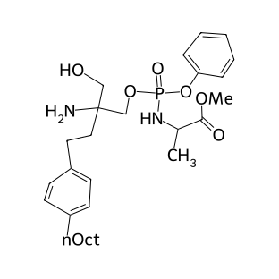 CCCCCCCCc1ccc(CCC(N)(CO)COP(=O)(NC(C)C(=O)OC)Oc2ccccc2)cc1